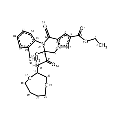 CCOC(=O)c1cc2n(n1)CC(C)(C(=O)NC1CCCCCCC1)N(c1ccccc1C)C2=O